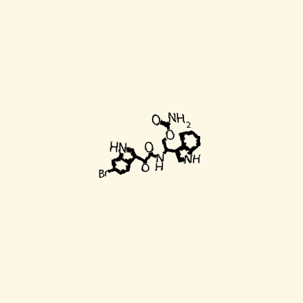 NC(=O)OCC(NC(=O)C(=O)c1c[nH]c2cc(Br)ccc12)c1c[nH]c2ccccc12